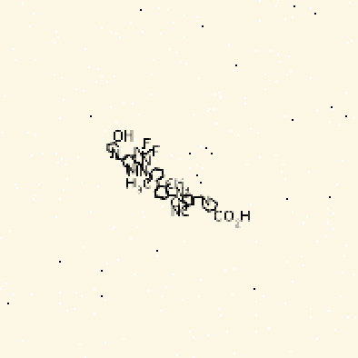 Cc1c(Nc2nc(C(F)F)nc3cc(CN4CCC(O)C4)cnc23)cccc1-c1cccc(-c2nc3cc(CN4CCC(C(=O)O)CC4)cc(C#N)c3o2)c1C